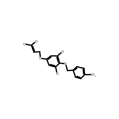 FC(F)(F)c1ccc(COc2c(Cl)cc(OCC=C(Cl)Cl)cc2Cl)cc1